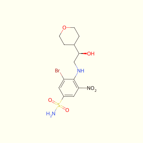 NS(=O)(=O)c1cc(Br)c(NC[C@H](O)C2CCOCC2)c([N+](=O)[O-])c1